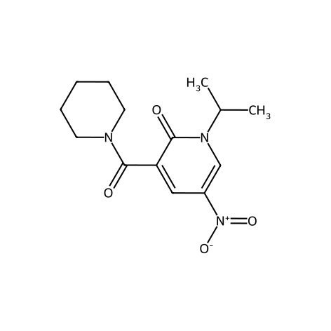 CC(C)n1cc([N+](=O)[O-])cc(C(=O)N2CCCCC2)c1=O